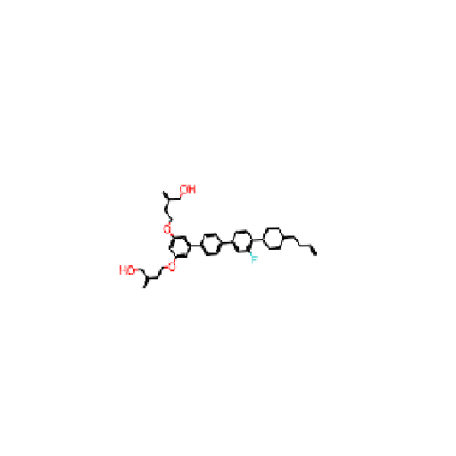 C=CCCC1CCC(c2ccc(-c3ccc(-c4cc(OCCC(=C)CO)cc(OCCC(=C)CO)c4)cc3)cc2F)CC1